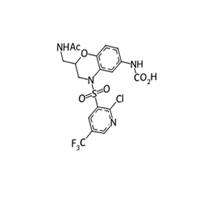 CC(=O)NCC1CN(S(=O)(=O)c2cc(C(F)(F)F)cnc2Cl)c2cc(NC(=O)O)ccc2O1